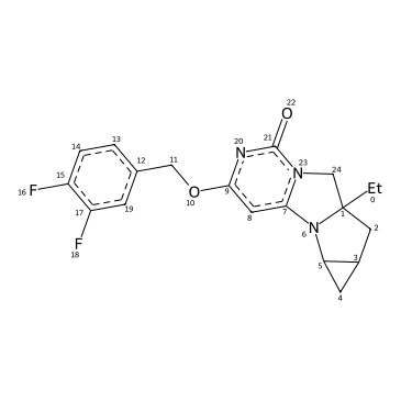 CCC12CC3CC3N1c1cc(OCc3ccc(F)c(F)c3)nc(=O)n1C2